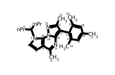 CCCC(CCC)n1ccc2c(C)nc3c(-c4c(C)cc(C)cc4C)c(C)nn3c21